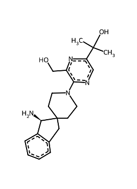 CC(C)(O)c1cnc(N2CCC3(CC2)Cc2ccccc2[C@H]3N)c(CO)n1